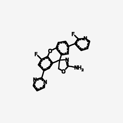 NC1=NC2(CO1)c1cc(-c3cccnc3F)ccc1Oc1c(F)cc(-c3ncccn3)cc12